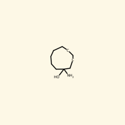 NC1(O)CCCCCCCCC1